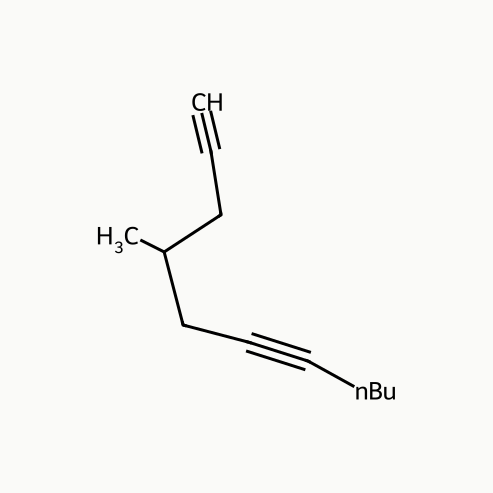 C#CCC(C)CC#CCC[CH]C